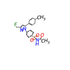 CC(=O)NS(=O)(=O)c1ccc(-n2nc(CF)cc2C2=CCC(C)C=C2)cc1